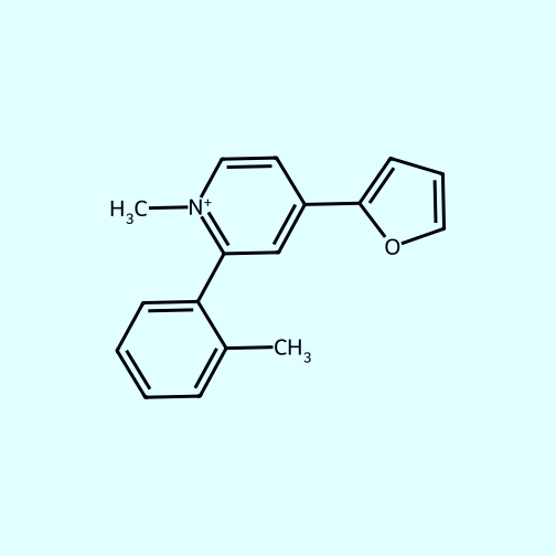 Cc1ccccc1-c1cc(-c2ccco2)cc[n+]1C